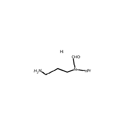 CCCN(C=O)CCCN.I